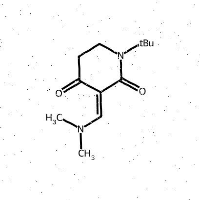 CN(C)C=C1C(=O)CCN(C(C)(C)C)C1=O